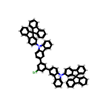 Brc1cc(-c2ccc3c(c2)c2ccccc2n3-c2ccc3c(c2)C2(c4ccccc4-c4ccccc42)c2ccccc2-3)cc(-c2ccc3c(c2)c2ccccc2n3-c2ccc3c(c2)C2(c4ccccc4-c4ccccc42)c2ccccc2-3)c1